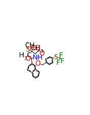 CSC(C)(C)[C@H](NC(=O)c1ccc2ccccc2c1OCc1ccc(SC(F)(F)F)cc1)C(=O)O